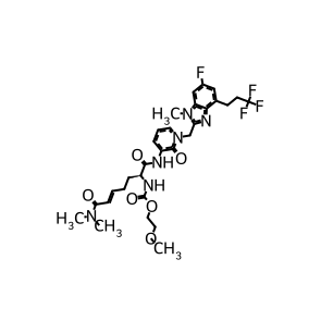 COCCOC(=O)N[C@@H](CC/C=C/C(=O)N(C)C)C(=O)Nc1cccn(Cc2nc3c(CCC(F)(F)F)cc(F)cc3n2C)c1=O